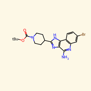 CC(C)(C)OC(=O)N1CCC(c2nc3c(N)nc4cc(Br)ccc4c3[nH]2)CC1